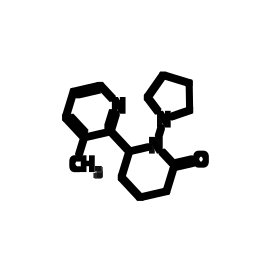 Cc1cccnc1C1CCCC(=O)N1N1CCCC1